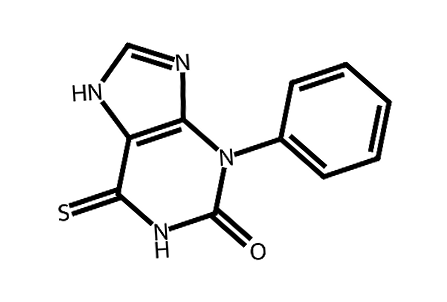 O=c1[nH]c(=S)c2[nH]cnc2n1-c1ccccc1